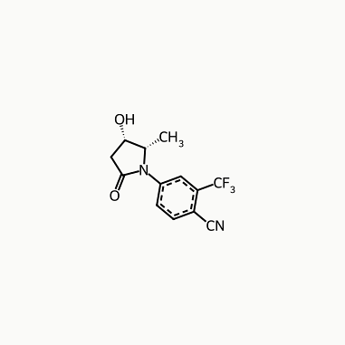 C[C@H]1[C@@H](O)CC(=O)N1c1ccc(C#N)c(C(F)(F)F)c1